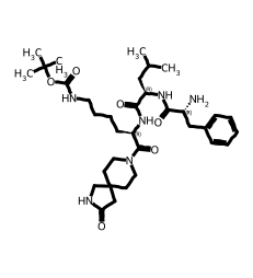 CC(C)C[C@@H](NC(=O)[C@H](N)Cc1ccccc1)C(=O)N[C@H](CCCCNC(=O)OC(C)(C)C)C(=O)N1CCC2(CC1)CNC(=O)C2